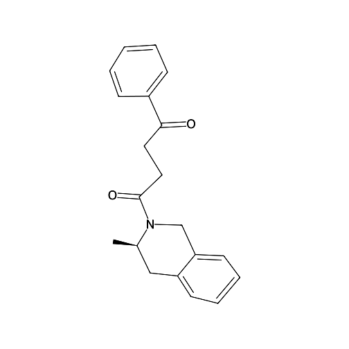 C[C@@H]1Cc2ccccc2CN1C(=O)CCC(=O)c1ccccc1